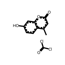 Cc1cc(=O)oc2cc(O)ccc12.O=C(Cl)Cl